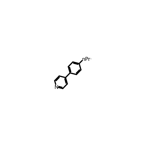 CC[CH]c1ccc(-c2ccncc2)cc1